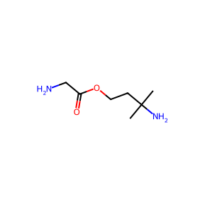 CC(C)(N)CCOC(=O)CN